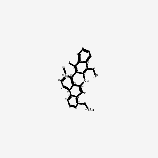 Cc1c2c(c(CC(C)C)c3ccccc13)Sc1cc3c(CC(C)(C)C)cccc3c3cc[n+](C)c-2c13